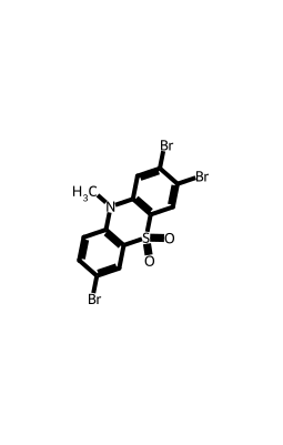 CN1c2ccc(Br)cc2S(=O)(=O)c2cc(Br)c(Br)cc21